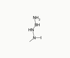 CN(I)NBN